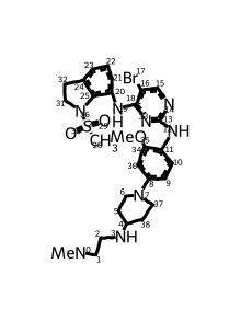 CNCCNC1CCN(c2ccc(Nc3ncc(Br)c(Nc4cccc5c4N(S(C)(=O)=O)CC5)n3)c(OC)c2)CC1